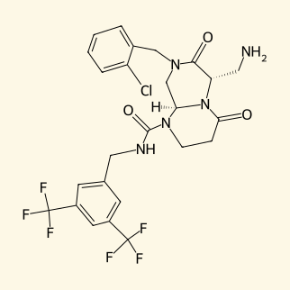 NC[C@H]1C(=O)N(Cc2ccccc2Cl)C[C@@H]2N(C(=O)NCc3cc(C(F)(F)F)cc(C(F)(F)F)c3)CCC(=O)N21